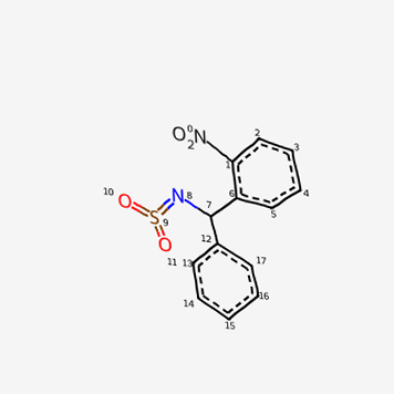 O=[N+]([O-])c1ccccc1C(N=S(=O)=O)c1ccccc1